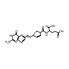 Nc1nc2ncc(CNC3C=CC(C(=O)NC(CCC(=O)O)C(=O)O)CC3)nc2c(=O)[nH]1